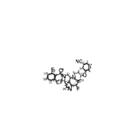 N#Cc1cncc(OC2CCN(C(CNC(=O)c3c(F)cccc3Cl)c3scnc3C(F)F)CC2)c1